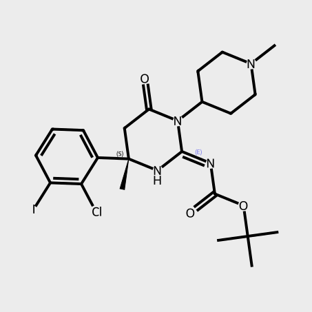 CN1CCC(N2C(=O)C[C@@](C)(c3cccc(I)c3Cl)N/C2=N\C(=O)OC(C)(C)C)CC1